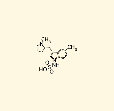 Cc1ccc2c(c1)c(C[C@H]1CCCN1C)cn2NS(=O)(=O)O